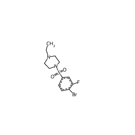 CCN1CCN(S(=O)(=O)c2ccc(Br)c(F)c2)CC1